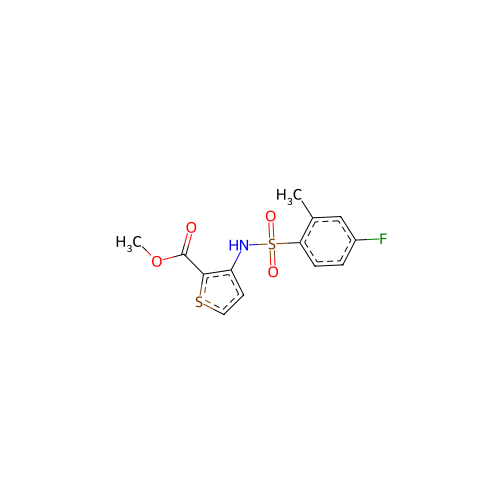 COC(=O)c1sccc1NS(=O)(=O)c1ccc(F)cc1C